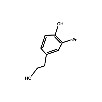 CCCc1cc(CCO)ccc1O